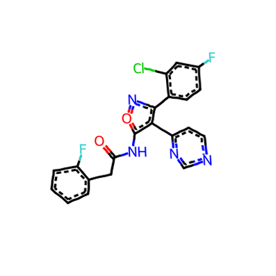 O=C(Cc1ccccc1F)Nc1onc(-c2ccc(F)cc2Cl)c1-c1ccncn1